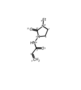 C=CC(=O)NN1CCN(CC)C1=O